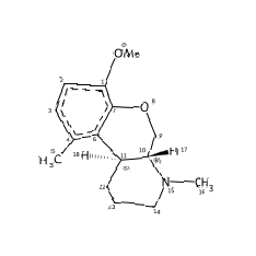 COc1ccc(C)c2c1OC[C@H]1[C@H]2CCCN1C